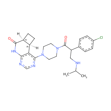 CC(C)NCC(C(=O)N1CCN(c2ncnc3c2[C@@H]2CC[C@@H]2C(=O)N3)CC1)c1ccc(Cl)cc1